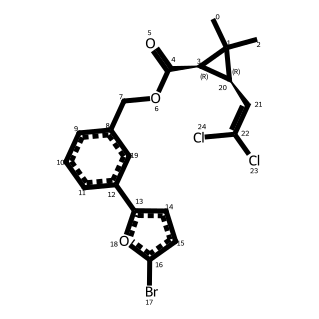 CC1(C)[C@H](C(=O)OCc2cccc(-c3ccc(Br)o3)c2)[C@@H]1C=C(Cl)Cl